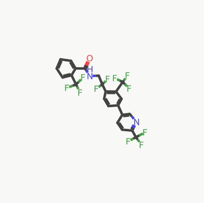 O=C(NCC(F)(F)c1ccc(-c2ccc(C(F)(F)F)nc2)cc1C(F)(F)F)c1ccccc1C(F)(F)F